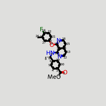 COC(=O)c1ccc([C@H](C)Nc2nccc3ccnc(Oc4ccc(F)c(C)c4)c23)cc1